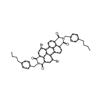 CCCCc1ccc(CN2C(=O)c3ccc4c5c(Br)cc6c7c(cc(Br)c(c8ccc(c3c48)C2=O)c75)C(=O)N(Cc2ccc(CCCC)cc2)C6=O)cc1